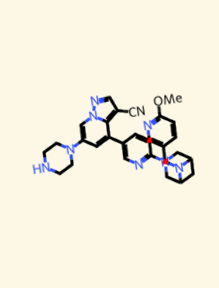 COc1ccc(CN2C3CC2CN(c2ccc(-c4cc(N5CCNCC5)cn5ncc(C#N)c45)cn2)C3)cn1